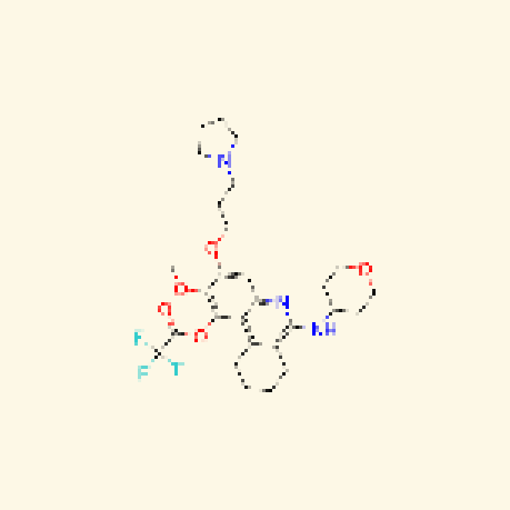 COc1c(OCCCN2CCCC2)cc2nc(NC3CCOCC3)c3c(c2c1OC(=O)C(F)(F)F)CCCC3